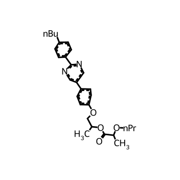 CCCCc1ccc(-c2ncc(-c3ccc(OCC(C)OC(=O)C(C)OCCC)cc3)cn2)cc1